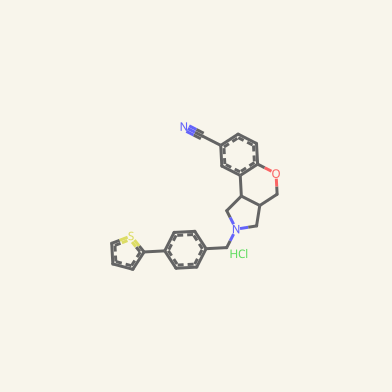 Cl.N#Cc1ccc2c(c1)C1CN(Cc3ccc(-c4cccs4)cc3)CC1CO2